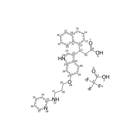 O=C(O)C(F)(F)F.O=C(O)CC(c1cccc2ccccc12)c1c[nH]c2cc(OCCCNc3ccccn3)ccc12